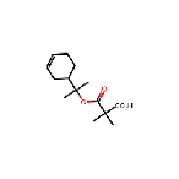 CC(C)(C(=O)O)C(=O)OC(C)(C)C1CC=CCC1